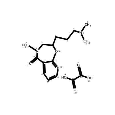 CN(C)CCCC1CN(C)C(=S)c2cccnc2O1.O=C(O)C(=O)O